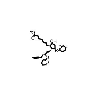 CC#CCC[C@@H](C=C[C@@H]1[C@@H](CC=CCCCC(=O)OC)[C@@H](O)C[C@H]1OC1CCCCO1)OC1CCCCO1